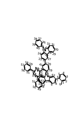 Cc1ccccc1-c1ccc2c3ccccc3n(-c3ccc(-c4ccc5c(c4)c4ccccc4n5-c4ccccc4)cc3-c3nc(-c4ccccc4)nc(-c4ccccc4)n3)c2c1